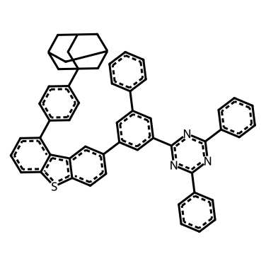 c1ccc(-c2cc(-c3ccc4sc5cccc(-c6ccc(C78CC9CC(CC(C9)C7)C8)cc6)c5c4c3)cc(-c3nc(-c4ccccc4)nc(-c4ccccc4)n3)c2)cc1